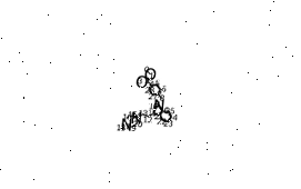 COC(=O)c1ccc(Cn2cc(CCN3CCN(C)CC3)c3ccccc32)cc1